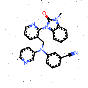 Cn1c(=O)n(-c2ncccc2CN(c2cccnc2)c2cccc(C#N)c2)c2ccccc21